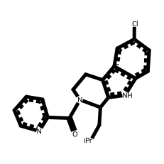 CC(C)CC1c2[nH]c3ccc(Cl)cc3c2CCN1C(=O)c1ccccn1